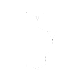 CC/C=C\CCC1CC1CN(C)C(C)=O